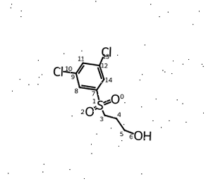 O=S(=O)(CCCO)c1cc(Cl)cc(Cl)c1